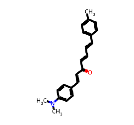 Cc1ccc(C=CC=CC(=O)C=Cc2ccc(N(C)C)cc2)cc1